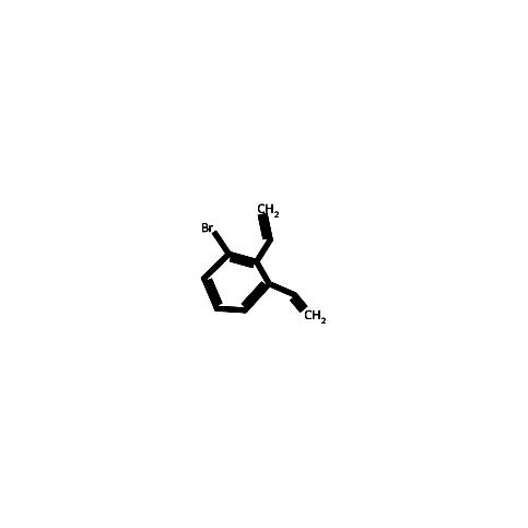 C=Cc1cccc(Br)c1C=C